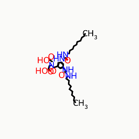 CCCCCCCCCCNC(=O)Nc1cc(NC(=O)NCCCCCCCCCC)cc(C(=O)N(CC(=O)O)CC(=O)O)c1